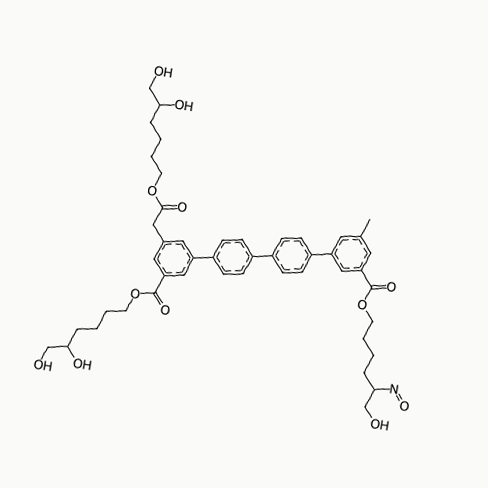 Cc1cc(C(=O)OCCCCC(CO)N=O)cc(-c2ccc(-c3ccc(-c4cc(CC(=O)OCCCCC(O)CO)cc(C(=O)OCCCCC(O)CO)c4)cc3)cc2)c1